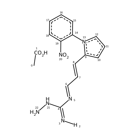 CC(=O)O.[H]/N=C(\N=C\C=Cc1cccn1-c1ccccc1[N+](=O)[O-])NN